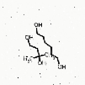 CC(C)(O)CCO.OCCCCCCO